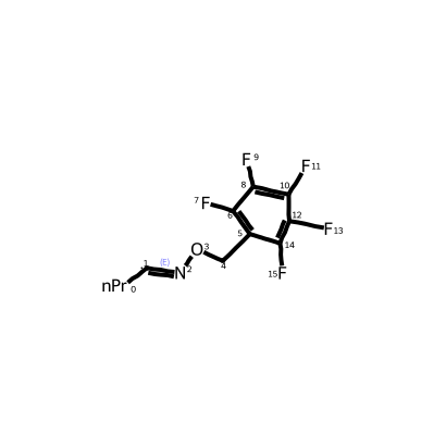 CCC/[C]=N/OCc1c(F)c(F)c(F)c(F)c1F